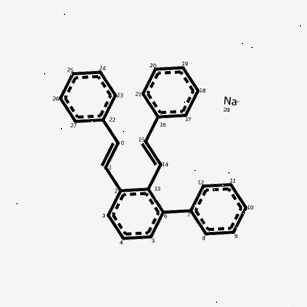 C(=Cc1cccc(-c2ccccc2)c1C=Cc1ccccc1)c1ccccc1.[Na]